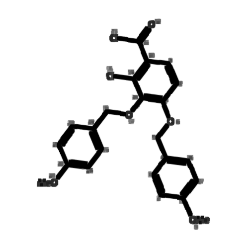 COc1ccc(COc2ccc(C(=O)Cl)c(Cl)c2OCc2ccc(OC)cc2)cc1